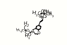 CC(C)(C)OC(=O)N1CCOc2ccc(C=CB3OC(C)(C)C(C)(C)O3)cc2C1